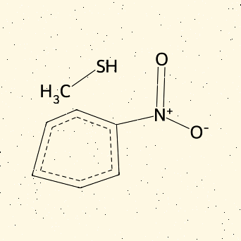 CS.O=[N+]([O-])c1ccccc1